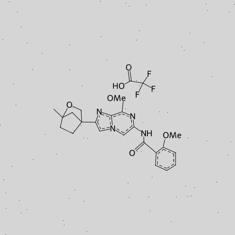 COc1ccccc1C(=O)Nc1cn2cc(C34CCC(C)(C3)OC4)nc2c(OC)n1.O=C(O)C(F)(F)F